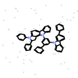 c1ccc(-c2cc(-n3c4ccccc4c4ccc(-c5ccccc5)cc43)cc(-n3c4ccccc4c4ccc5c(c43)CC(c3ccccc3)N5c3ccccc3)c2)cc1